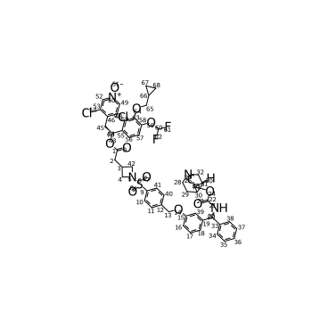 O=C(CC1CN(S(=O)(=O)c2ccc(COc3cccc([C@@H](NC(=O)O[C@H]4CN5CCC4CC5)c4ccccc4)c3)cc2)C1)O[C@@H](Cc1c(Cl)c[n+]([O-])cc1Cl)c1ccc(OC(F)F)c(OCC2CC2)c1